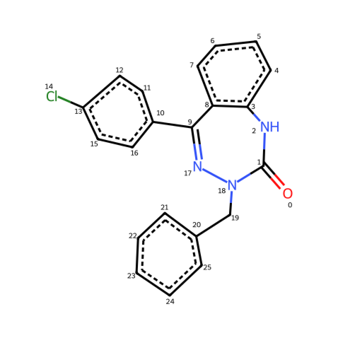 O=C1Nc2ccccc2C(c2ccc(Cl)cc2)=NN1Cc1ccccc1